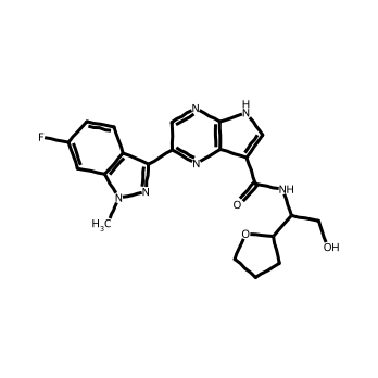 Cn1nc(-c2cnc3[nH]cc(C(=O)NC(CO)C4CCCO4)c3n2)c2ccc(F)cc21